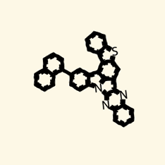 c1ccc2c(-c3ccc4c(c3)c3c5c(cc6c7nc8ccccc8nc7n4c63)sc3ccccc35)cccc2c1